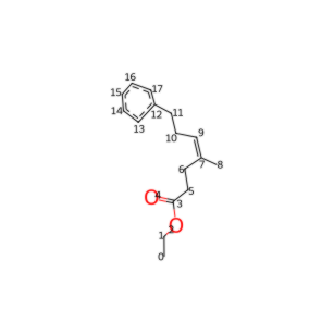 CCOC(=O)CCC(C)=CCCc1ccccc1